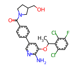 CC(Oc1cc(-c2ccc(C(=O)N3CCC(CO)C3)cc2)cnc1N)c1c(Cl)ccc(F)c1Cl